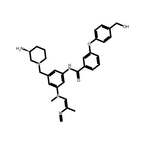 C=N/C(C)=C\N(C)c1cc(CN2CCC[C@H](N)C2)cc(NC(=O)c2cccc(Oc3ccc(CO)cc3)c2)c1